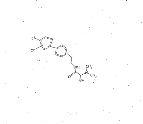 CCCC(C(=O)NCCc1ccc(-c2ccc(Cl)c(Cl)c2)cc1)N(C)C